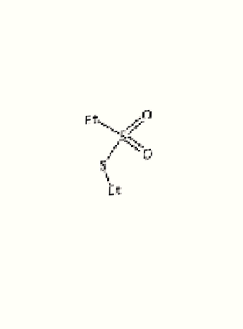 CCSS(=O)(=O)CC